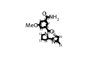 COc1cc(C(N)=O)cc(C(=O)N2CCCC2c2nc(C)cs2)c1